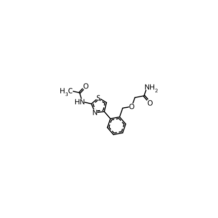 CC(=O)Nc1nc(-c2ccccc2COCC(N)=O)cs1